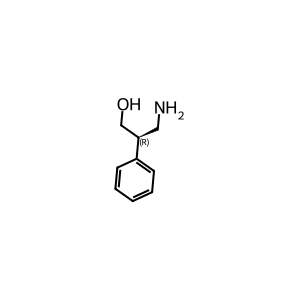 NC[C@H](CO)c1ccccc1